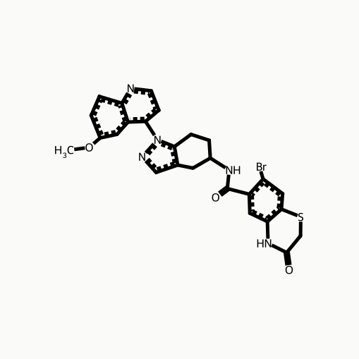 COc1ccc2nccc(-n3ncc4c3CCC(NC(=O)c3cc5c(cc3Br)SCC(=O)N5)C4)c2c1